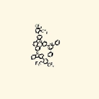 FC(F)(F)c1ccc(-c2ccc3c(c2)c2ccccc2n3-c2cccc(-c3cc(-c4nc(-c5ccccc5)cc(-c5ccccc5)n4)ccc3-n3c4ccccc4c4cc(-c5ccc(C(F)(F)F)cc5C(F)(F)F)ccc43)c2)c(C(F)(F)F)c1